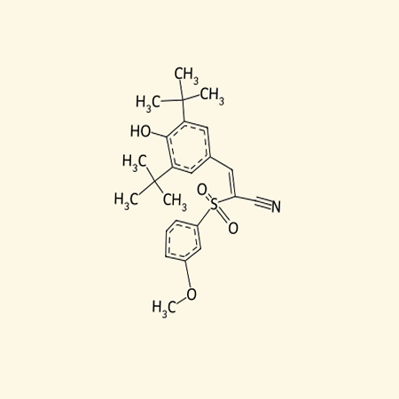 COc1cccc(S(=O)(=O)/C(C#N)=C\c2cc(C(C)(C)C)c(O)c(C(C)(C)C)c2)c1